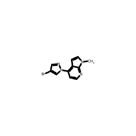 Cn1ccc2c(-n3cc(Br)cn3)ccnc21